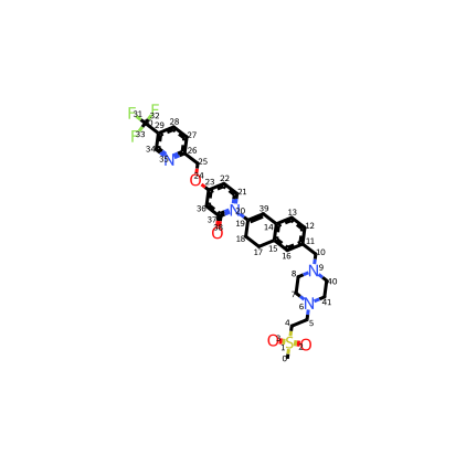 CS(=O)(=O)CCN1CCN(Cc2ccc3c(c2)CCC(n2ccc(OCc4ccc(C(F)(F)F)cn4)cc2=O)=C3)CC1